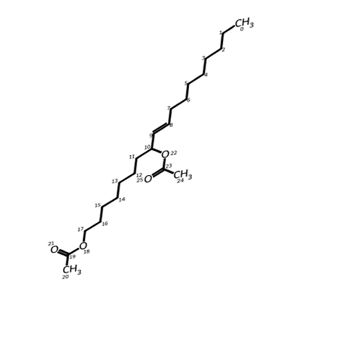 CCCCCCCC/C=C/C(CCCCCCCOC(C)=O)OC(C)=O